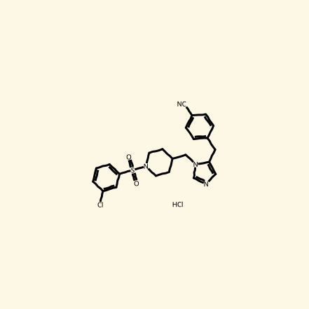 Cl.N#Cc1ccc(Cc2cncn2CC2CCN(S(=O)(=O)c3cccc(Cl)c3)CC2)cc1